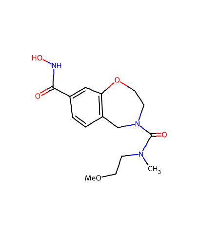 COCCN(C)C(=O)N1CCOc2cc(C(=O)NO)ccc2C1